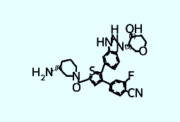 N#Cc1ccc(-c2cc(C(=O)N3CCC[C@@H](N)C3)sc2-c2ccc3c(c2)NNN3[C@H]2COCC[C@@H]2O)cc1F